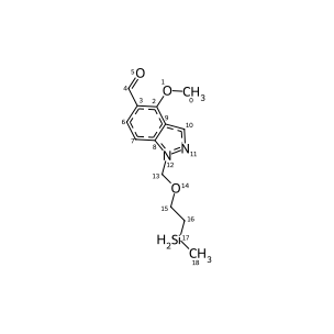 COc1c(C=O)ccc2c1cnn2COCC[SiH2]C